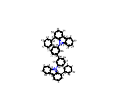 c1ccc(-c2cccc3c4ccccc4n(-c4cccc(-c5cccc(-n6c7ccccc7c7cccc(-c8ccccc8)c76)c5)c4)c23)cc1